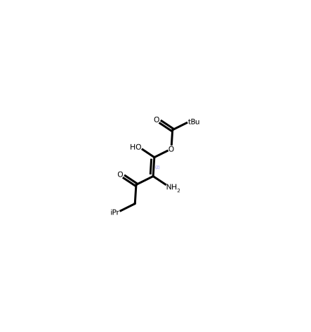 CC(C)CC(=O)/C(N)=C(\O)OC(=O)C(C)(C)C